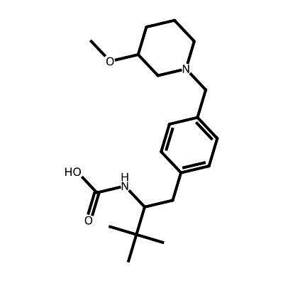 COC1CCCN(Cc2ccc(CC(NC(=O)O)C(C)(C)C)cc2)C1